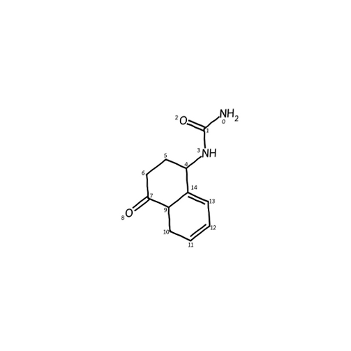 NC(=O)NC1CCC(=O)C2CC=CC=C12